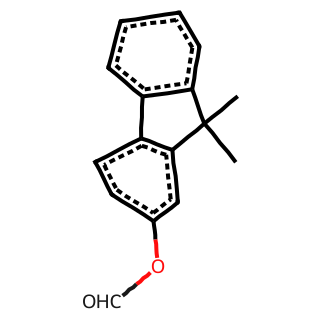 CC1(C)c2ccccc2-c2ccc(OC=O)cc21